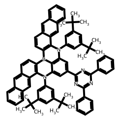 CC(C)(C)c1cc(N2c3cc(-c4nc(-c5ccccc5)nc(-c5ccccc5)n4)cc4c3B(c3ccc5cc6ccccc6cc5c32)c2ccc3cc5ccccc5cc3c2N4c2cc(C(C)(C)C)cc(C(C)(C)C)c2)cc(C(C)(C)C)c1